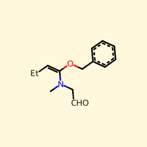 CC/C=C(/OCc1ccccc1)N(C)CC=O